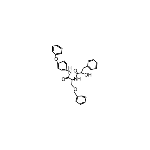 O=C(NC(COCc1ccccc1)C(=O)Nc1ccc(Oc2ccccc2)cc1)C(O)Cc1ccccc1